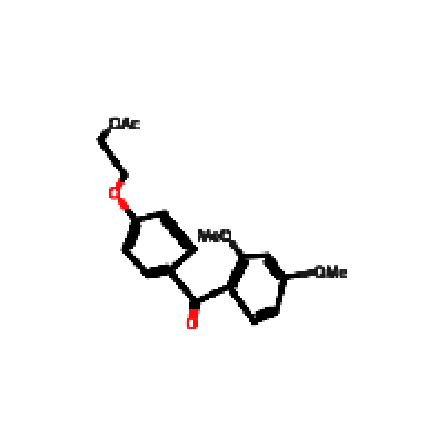 COc1ccc(C(=O)c2ccc(OCCOC(C)=O)cc2)c(OC)c1